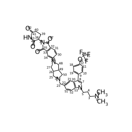 CN(C)CCCn1cc(-c2ccc(OC(F)(F)F)cc2)c2cc(CN3CC4CN(c5ccc6c(c5)C(=O)N(C5CCC(=O)NC5=O)C6=O)CC4C3)ccc21